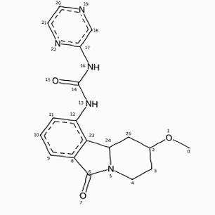 COC1CCN2C(=O)c3cccc(NC(=O)Nc4cnccn4)c3C2C1